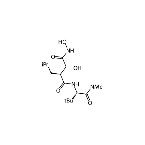 CNC(=O)[C@H](NC(=O)[C@@H](CC(C)C)[C@@H](O)C(=O)NO)C(C)(C)C